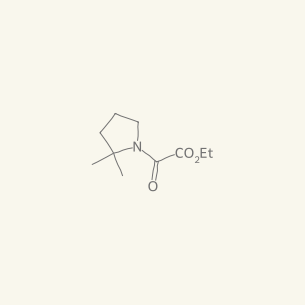 CCOC(=O)C(=O)N1CCCC1(C)C